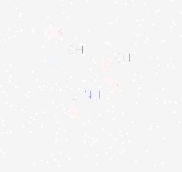 COC(=O)CNP(CC/C=C(\C)CO)Oc1ccccc1